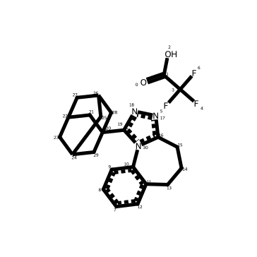 O=C(O)C(F)(F)F.c1ccc2c(c1)CCCc1nnc(C34CC5CC(CC(C5)C3)C4)n1-2